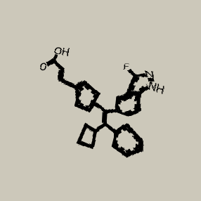 O=C(O)C=Cc1ccc(C(=C(c2ccccc2)C2CCC2)c2ccc3[nH]nc(F)c3c2)cc1